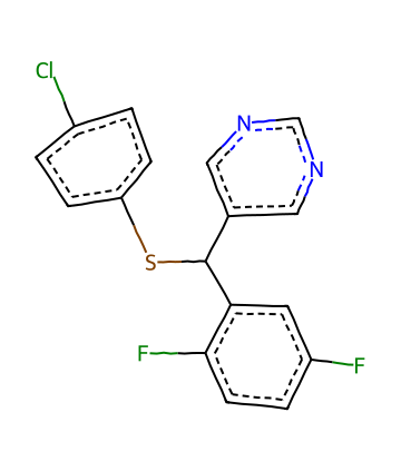 Fc1ccc(F)c(C(Sc2ccc(Cl)cc2)c2cncnc2)c1